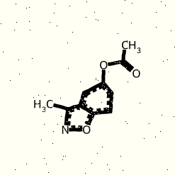 CC(=O)Oc1ccc2onc(C)c2c1